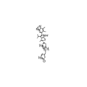 Cc1c(-c2[nH]c3sc([C@@H]4C[C@@H]5C[C@H]4CN5Cc4cc[nH]c(=O)c4)c(C)c3c2C(C)C)cn2ncnc2c1C